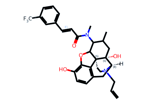 C=CCN1CC[C@]23c4c5ccc(O)c4OC2C(N(C)C(=O)/C=C/c2cccc(C(F)(F)F)c2)C(C)C[C@@]3(O)[C@H]1C5